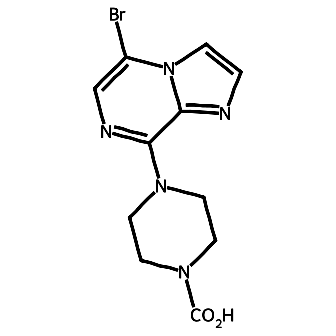 O=C(O)N1CCN(c2ncc(Br)n3ccnc23)CC1